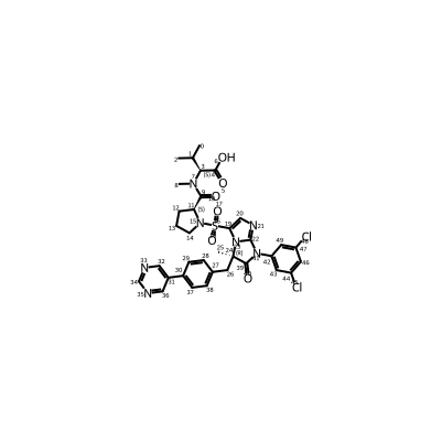 CC(C)[C@@H](C(=O)O)N(C)C(=O)[C@@H]1CCCN1S(=O)(=O)c1cnc2n1[C@](C)(Cc1ccc(-c3cncnc3)cc1)C(=O)N2c1cc(Cl)cc(Cl)c1